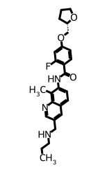 CCCNCc1cnc2c(C)c(NC(=O)c3ccc(OC[C@@H]4CCCO4)cc3F)ccc2c1